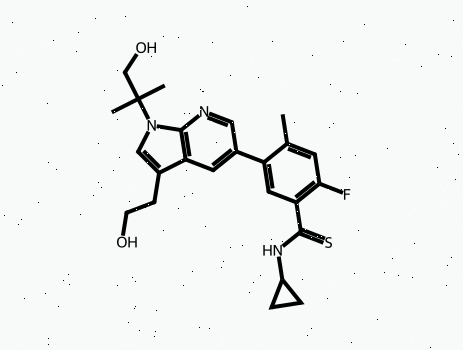 Cc1cc(F)c(C(=S)NC2CC2)cc1-c1cnc2c(c1)c(CCO)cn2C(C)(C)CO